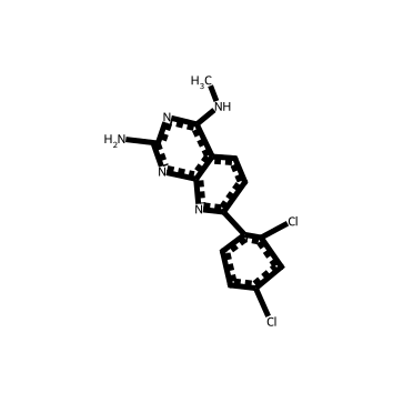 CNc1nc(N)nc2nc(-c3ccc(Cl)cc3Cl)ccc12